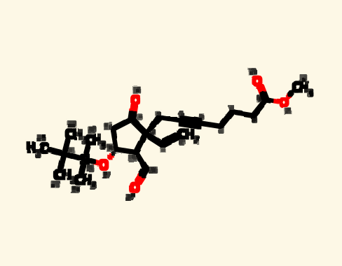 C=C[C@@]1(CC#CCCCC(=O)OC)C(=O)C[C@@H](O[Si](C)(C)C(C)(C)C)[C@@H]1C=O